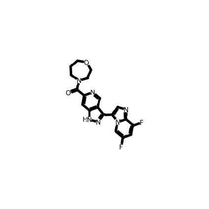 O=C(c1cc2[nH]nc(-c3cnc4c(F)cc(F)cn34)c2cn1)N1CCCOCC1